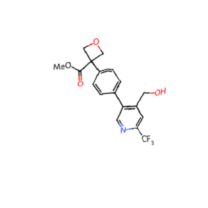 COC(=O)C1(c2ccc(-c3cnc(C(F)(F)F)cc3CO)cc2)COC1